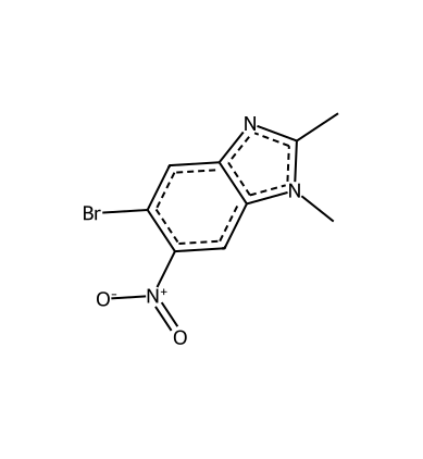 Cc1nc2cc(Br)c([N+](=O)[O-])cc2n1C